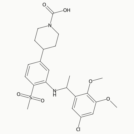 COc1cc(Cl)cc(C(C)Nc2cc(C3CCN(C(=O)O)CC3)ccc2S(C)(=O)=O)c1OC